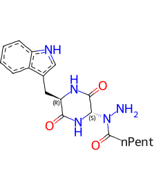 CCCCCC(=O)N(N)[C@@H]1NC(=O)[C@@H](Cc2c[nH]c3ccccc23)NC1=O